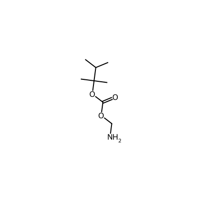 CC(C)C(C)(C)OC(=O)OCN